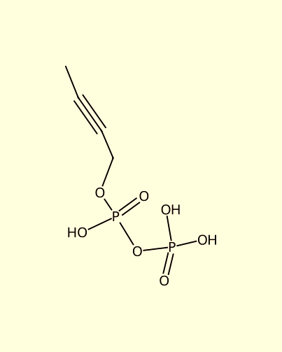 CC#CCOP(=O)(O)OP(=O)(O)O